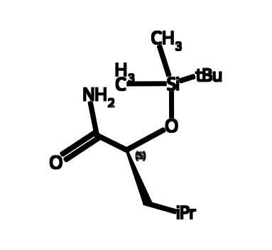 CC(C)C[C@H](O[Si](C)(C)C(C)(C)C)C(N)=O